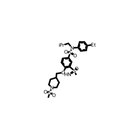 CCc1ccc(N(CC(C)C)S(=O)(=O)c2ccc(OCC3CCN(S(C)(=O)=O)CC3)c(S(C)(=N)=O)c2)cc1